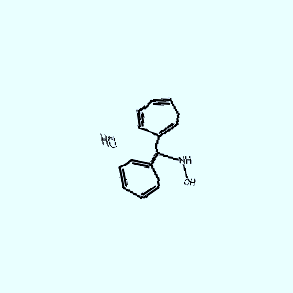 Cl.ONC(c1ccccc1)c1ccccc1